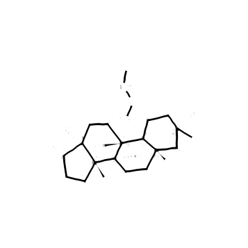 CC(=O)[C@H]1CC[C@H]2[C@@H]3CC[C@H]4C[C@](C)(O)CC[C@]4(COPI)[C@H]3CC[C@]12C